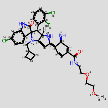 COCCOCCNC(=O)C1=CC(=N)/C(=C2/C=C3[C@@H](N2)[C@H](c2cccc(Cl)c2F)[C@]2(C(=O)Nc4cc(Cl)ccc42)N3CC2CCC2)C=C1